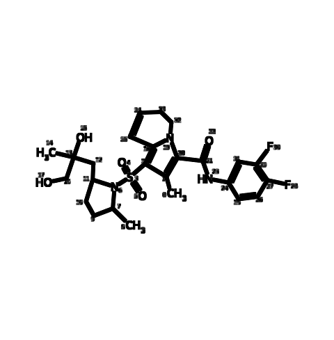 Cc1c(S(=O)(=O)N2C(C)CCC2CC(C)(O)CO)c2n(c1C(=O)Nc1ccc(F)c(F)c1)CCC=C2